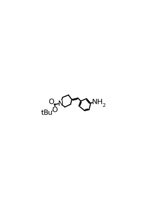 CC(C)(C)OC(=O)N1CCC(=Cc2cccc(N)c2)CC1